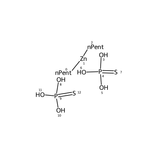 CCCC[CH2][Zn][CH2]CCCC.OP(O)(O)=S.OP(O)(O)=S